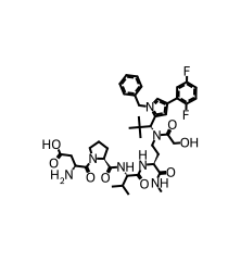 CNC(=O)[C@H](CCN(C(=O)CO)[C@@H](c1cc(-c2cc(F)ccc2F)cn1Cc1ccccc1)C(C)(C)C)NC(=O)[C@@H](NC(=O)[C@@H]1CCCN1C(=O)[C@@H](N)CC(=O)O)C(C)C